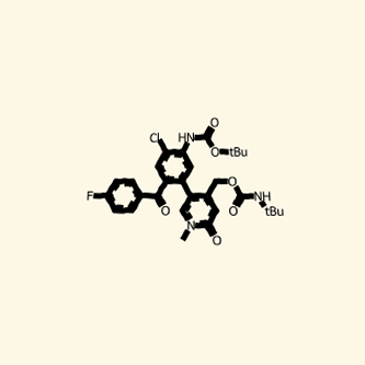 Cn1cc(-c2cc(NC(=O)OC(C)(C)C)c(Cl)cc2C(=O)c2ccc(F)cc2)c(COC(=O)NC(C)(C)C)cc1=O